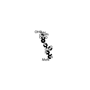 CCCC(C(=O)NC=O)N1C(=O)c2ccc(N3CCC(COc4ncc(-c5cc(NC)cnc5C)cc4N4CCOCC4)CC3)cc2C1=O